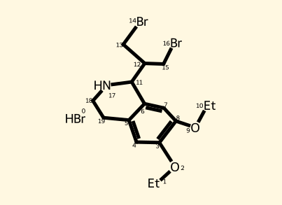 Br.CCOc1cc2c(cc1OCC)C(C(CBr)CBr)NCC2